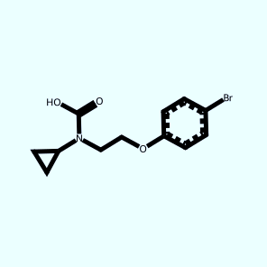 O=C(O)N(CCOc1ccc(Br)cc1)C1CC1